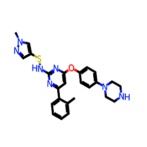 Cc1ccccc1-c1cc(Oc2ccc(N3CCNCC3)cc2)nc(NSc2cnn(C)c2)n1